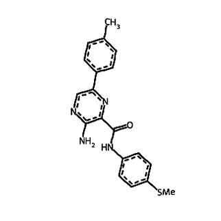 CSc1ccc(NC(=O)c2nc(-c3ccc(C)cc3)cnc2N)cc1